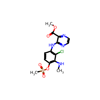 CNc1c(OS(C)(=O)=O)ccc(Nc2nccnc2C(=O)OC)c1Cl